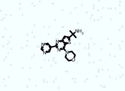 CC(C)(N)c1cc2nc(-c3cncnc3)nc(N3CCOCC3)c2s1